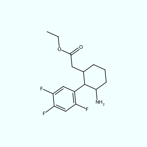 CCOC(=O)CC1CCCC(N)C1c1cc(F)c(F)cc1F